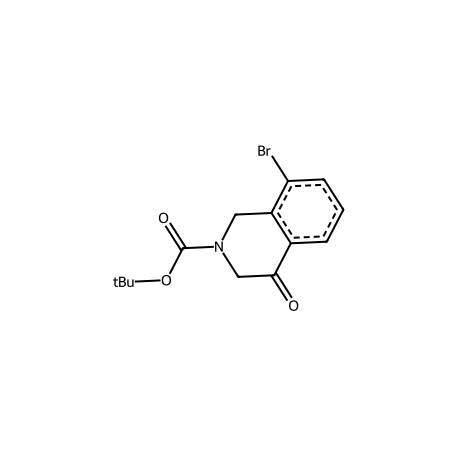 CC(C)(C)OC(=O)N1CC(=O)c2cccc(Br)c2C1